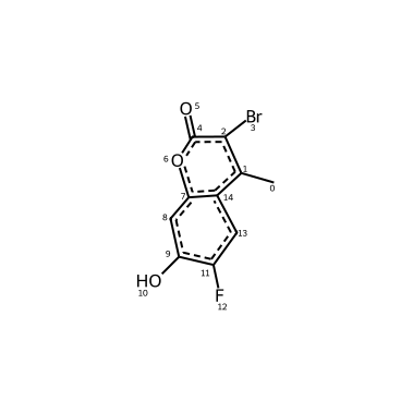 Cc1c(Br)c(=O)oc2cc(O)c(F)cc12